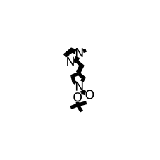 Cn1ccnc1/C=C1\CCN(C(=O)OC(C)(C)C)C1